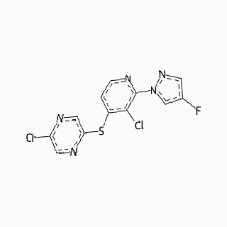 Fc1cnn(-c2nccc(Sc3cnc(Cl)cn3)c2Cl)c1